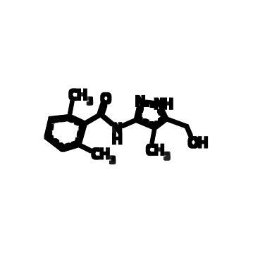 Cc1cccc(C)c1C(=O)Nc1n[nH]c(CO)c1C